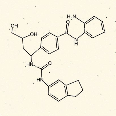 Nc1ccccc1NC(=O)c1ccc(C(CC(O)CO)NC(=O)Nc2ccc3c(c2)CCC3)cc1